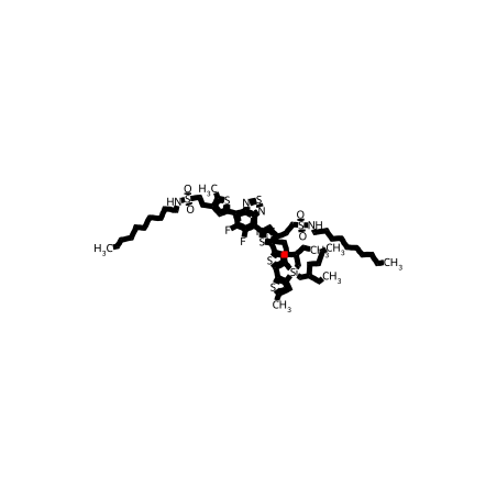 CCCCCCCCCCNS(=O)(=O)CCc1cc(-c2c(F)c(F)c(-c3cc(CCS(=O)(=O)NCCCCCCCCCC)c(-c4cc5c(s4)-c4sc(C)cc4[Si]5(CC(CC)CCCC)CC(CC)CCCC)s3)c3nsnc23)sc1C